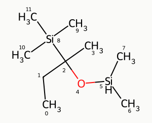 CCC(C)(O[SiH](C)C)[Si](C)(C)C